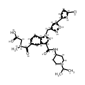 CC(C)N1CCC(NC(=O)c2nn(Cc3cc(-c4ccc(Cl)s4)on3)c3ccc(C(=O)N(C)CC(=O)O)cc23)CC1